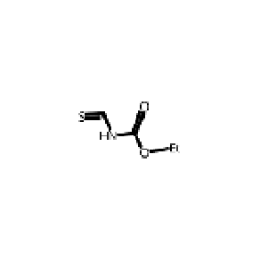 CCOC(=O)NC=S